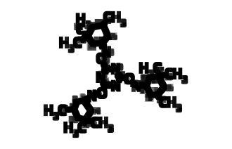 CC1CC(=NOc2nc(ON=C3CC(C)CC(C)(C)C3)nc(ON=C3CC(C)CC(C)(C)C3)n2)CC(C)(C)C1